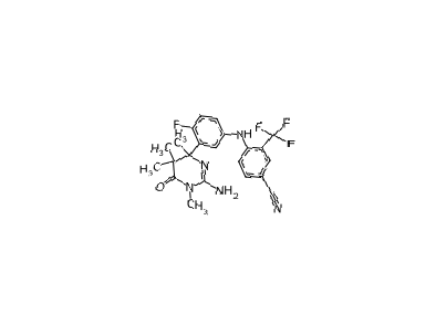 CN1C(=O)C(C)(C)C(C)(c2cc(Nc3ccc(C#N)cc3C(F)(F)F)ccc2F)N=C1N